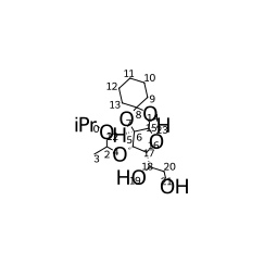 CC(C)OC(C)O[C@@H]1[C@H]2OC3(CCCCC3)O[C@H]2O[C@@H]1C(O)CO